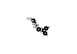 Nc1ccc(CNC(=O)Nc2ccc3nc(-c4ccc(F)cc4)c(-c4ccc(F)cc4)nc3c2)cn1